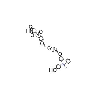 CC/C(=C(\c1ccc(O)cc1)c1ccc(OCCN2CCC3(CC2)CC(CCOc2ccc4c(c2)CN(C2CCC(=O)NC2=O)C4=O)C3)cc1)c1ccccc1